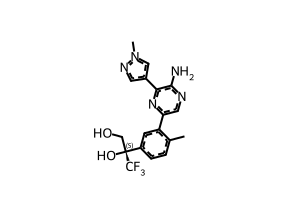 Cc1ccc([C@](O)(CO)C(F)(F)F)cc1-c1cnc(N)c(-c2cnn(C)c2)n1